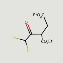 CCOC(=O)CC(C(=O)OCC)C(=O)C(F)F